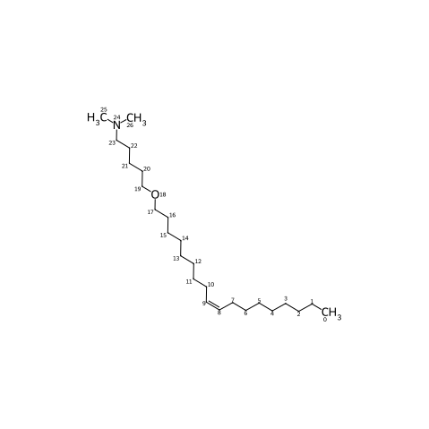 CCCCCCCC/C=C\CCCCCCCCOCCCCCN(C)C